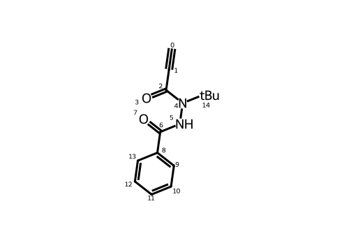 C#CC(=O)N(NC(=O)c1ccccc1)C(C)(C)C